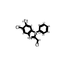 CCc1cc2c(cc1Cl)nc(CCl)n2-c1ccccc1